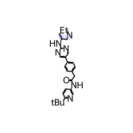 CC/C=C(\C=N/C)Nc1ncc(-c2ccc(CC(=O)Nc3ccc(C(C)(C)C)nc3)cc2)cn1